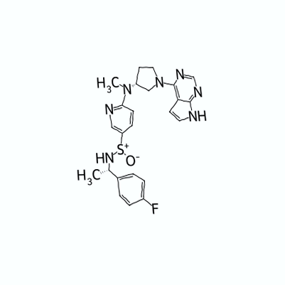 C[C@H](N[S+]([O-])c1ccc(N(C)[C@@H]2CCN(c3ncnc4[nH]ccc34)C2)nc1)c1ccc(F)cc1